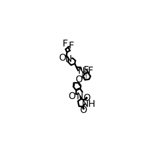 O=C1CCC(N2Cc3cc(O[C@H]4CCCC(F)(F)[C@H]4N4CC(C5CCN(C(=O)C6CC(F)(F)C6)CC5)C4)ccc3C2=O)C(=O)N1